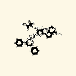 C[C@@]1(O)[C@H](O)[C@@H](CO[P@]2(=O)O[C@H](c3ccccc3)C[C@H](c3ccccc3)O2)O[C@H]1n1ccc2c(N)ncnc21.O=C(O)C(F)(F)F